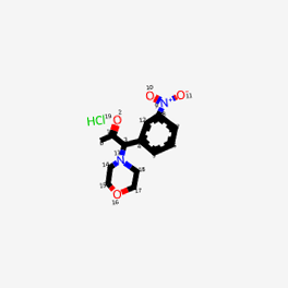 CC(=O)C(c1cccc([N+](=O)[O-])c1)N1CCOCC1.Cl